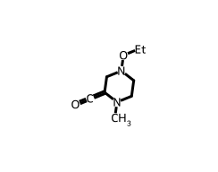 CCON1CCN(C)C(=C=O)C1